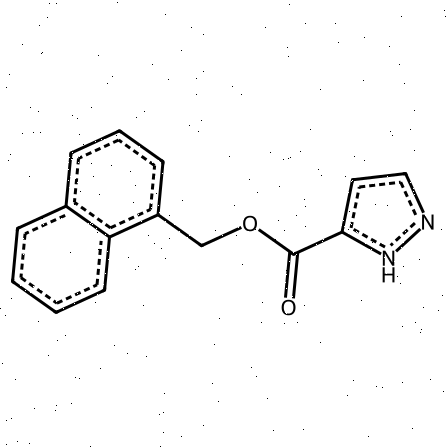 O=C(OCc1cccc2ccccc12)c1ccn[nH]1